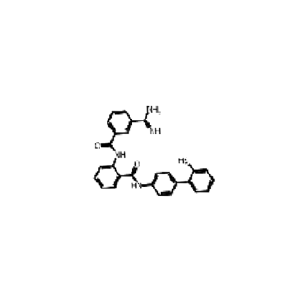 N=C(N)c1cccc(C(=O)Nc2ccccc2C(=O)Nc2ccc(-c3ccccc3S)cc2)c1